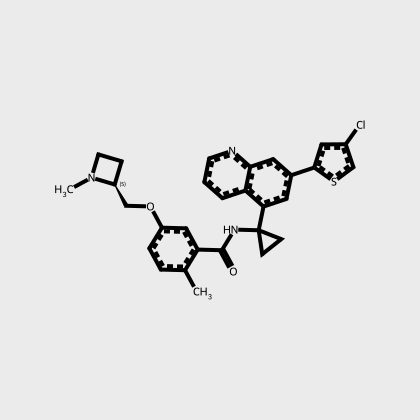 Cc1ccc(OC[C@@H]2CCN2C)cc1C(=O)NC1(c2cc(-c3cc(Cl)cs3)cc3ncccc23)CC1